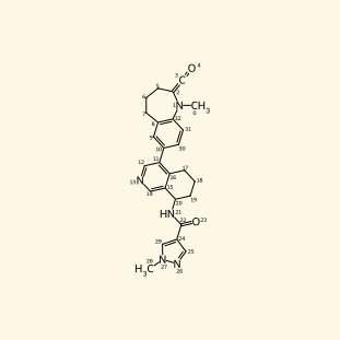 CN1C(=C=O)CCCc2cc(-c3cncc4c3CCCC4NC(=O)c3cnn(C)c3)ccc21